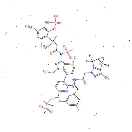 CC(C)(CC(=O)N(c1nn(CC(F)(F)F)c2c(-c3ccc(CCC(C)(C)S(C)(=O)=O)nc3[C@H](Cc3cc(F)cc(F)c3)NC(=O)Cn3nc(C(F)(F)F)c4c3C(F)(F)C3C[C@H]43)ccc(Cl)c12)S(C)(=O)=O)c1c(OP(=O)(O)O)cc(C(=O)O)cc1C(=O)O